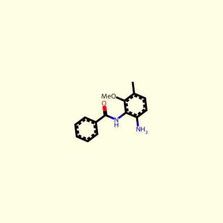 COc1c(C)ccc(N)c1NC(=O)c1ccccc1